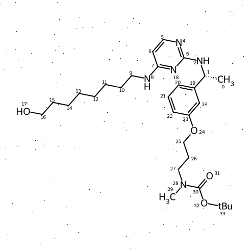 C[C@@H](Nc1nccc(NCCCCCCCCO)n1)c1cccc(OCCCN(C)C(=O)OC(C)(C)C)c1